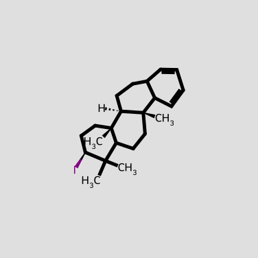 CC1(C)C2CC[C@@]3(C)C4C=CC=CC4CC[C@@H]3[C@@]2(C)CC[C@@H]1I